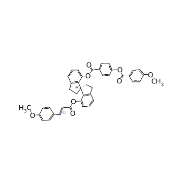 COc1ccc(/C=C/C(=O)Oc2cccc3c2[C@@]2(CC3)CCc3cccc(OC(=O)c4ccc(OC(=O)c5ccc(OC)cc5)cc4)c32)cc1